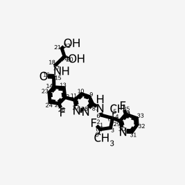 C[C@H](F)C[C@@](C)(CNc1ccc(-c2cc(C(=O)NC[C@@H](O)CO)ccc2F)nn1)c1ncccc1F